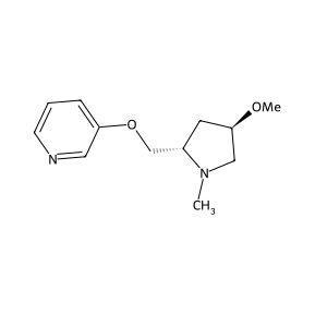 CO[C@@H]1C[C@@H](COc2cccnc2)N(C)C1